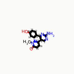 Cn1nc(-c2cnc(N)nc2-c2ccc(O)cc2)ccc1=O